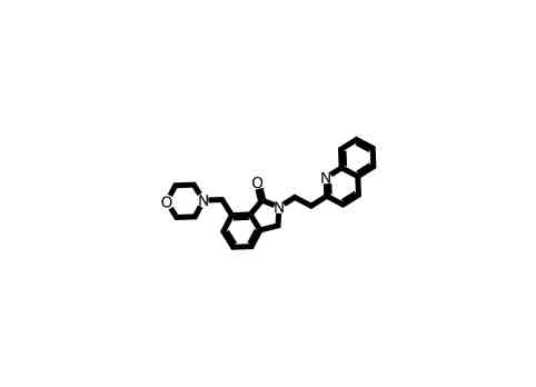 O=C1c2c(CN3CCOCC3)cccc2CN1CCc1ccc2ccccc2n1